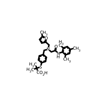 Cc1cc(C)c(NC(=O)CN(Cc2ccc(SC(C)(C)C(=O)O)cc2)Cc2ccc(C)o2)c(C)c1